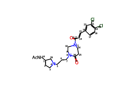 CC(=O)NC1CCN(CCCN2CCN(C(=O)/C=C/c3ccc(Cl)c(Cl)c3)CCC2=O)C1